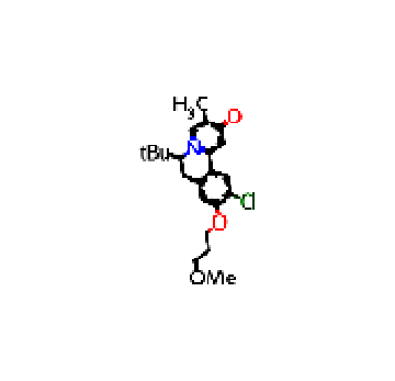 COCCCOc1cc2c(cc1Cl)-c1cc(=O)c(C)cn1C(C(C)(C)C)C2